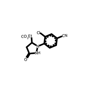 CCOC(=O)C1CC(=O)NN1c1ccc(C#N)cc1Cl